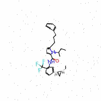 CCC(C)n1c(CCCc2ccccc2)ccc1C(=O)Nc1cc([C@H]2C[C@H]2CC)ccc1C(F)(F)F